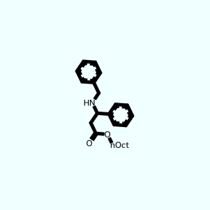 CCCCCCCCOC(=O)CC(NCc1ccccc1)c1ccccc1